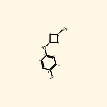 CC(C)[C@H]1C[C@@H](Oc2ccc(F)cc2)C1